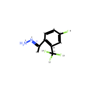 C/C(=N\N)c1ccc(F)cc1C(F)(F)F